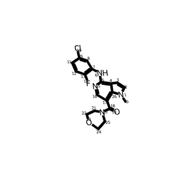 Cn1ccc2c(Nc3cc(Cl)ccc3F)ncc(C(=O)N3CCOCC3)c21